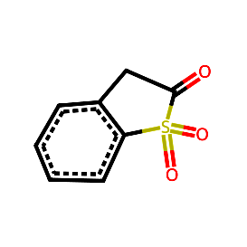 O=C1Cc2ccccc2S1(=O)=O